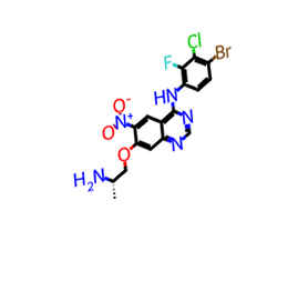 C[C@H](N)COc1cc2ncnc(Nc3ccc(Br)c(Cl)c3F)c2cc1[N+](=O)[O-]